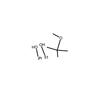 CC(C)O.CCO.COC(C)(C)C